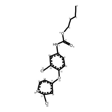 CCCCOC(=O)Nc1ccc(Oc2ccnc(Cl)c2)c(Cl)c1